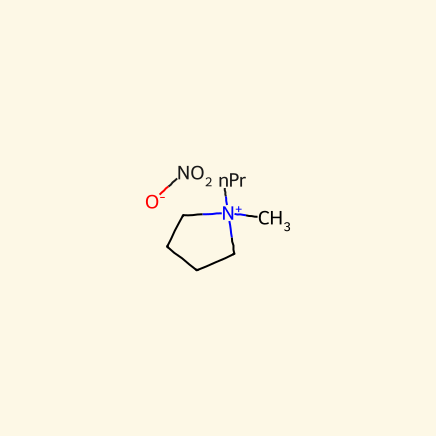 CCC[N+]1(C)CCCC1.O=[N+]([O-])[O-]